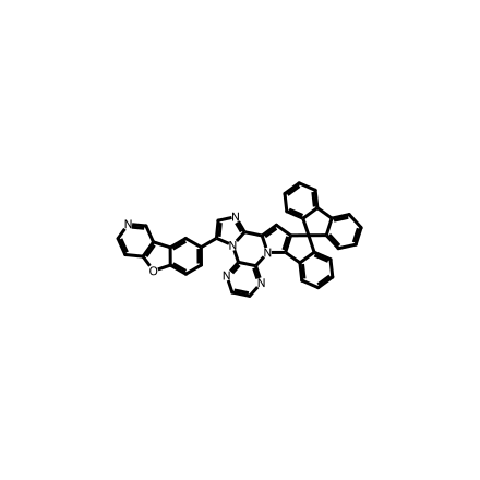 c1ccc2c(c1)-c1ccccc1C21c2ccccc2-c2c1cc1c3ncc(-c4ccc5oc6ccncc6c5c4)n3c3nccnc3n21